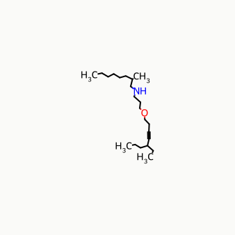 CCCCCCC(C)CNCCCOCCC#CC(CC)CCC